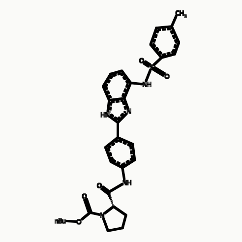 CCCCOC(=O)N1CCC[C@H]1C(=O)Nc1ccc(-c2nc3c(NS(=O)(=O)c4ccc(C)cc4)cccc3[nH]2)cc1